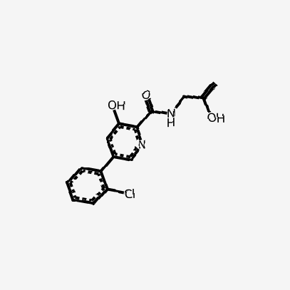 C=C(O)CNC(=O)c1ncc(-c2ccccc2Cl)cc1O